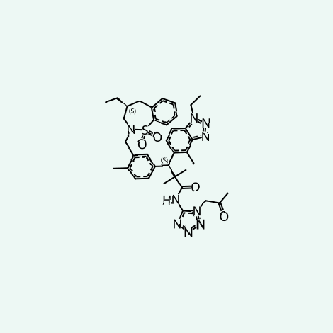 CC[C@H]1Cc2ccccc2S(=O)(=O)N(Cc2cc([C@@H](c3ccc4c(nnn4CC)c3C)C(C)(C)C(=O)Nc3nnnn3CC(C)=O)ccc2C)C1